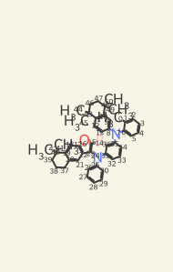 Cc1ccccc1N1c2cc3c(cc2B2c4oc5cc6c(cc5c4N(c4ccccc4)c4cccc1c42)CCCC6(C)C)C(C)(C)CCC3(C)C